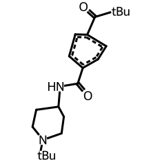 CC(C)(C)C(=O)c1ccc(C(=O)NC2CCN(C(C)(C)C)CC2)cc1